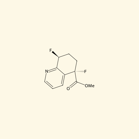 COC(=O)[C@]1(F)CC[C@H](F)c2ncccc21